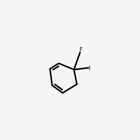 FC1(I)[CH]C=CC=C1